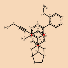 Nc1nnc(-c2ccccc2OP)cc1N1CC2CCC(C1)N2c1ccnc(C#CCO)c1